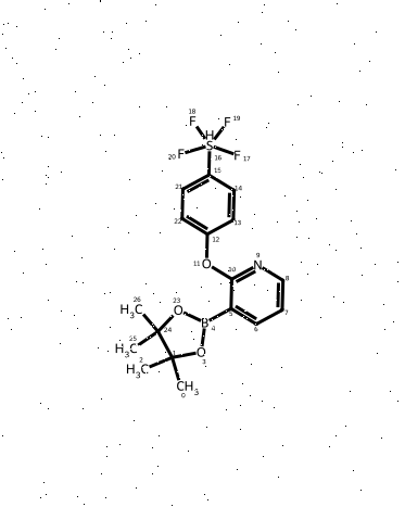 CC1(C)OB(c2cccnc2Oc2ccc([SH](F)(F)(F)F)cc2)OC1(C)C